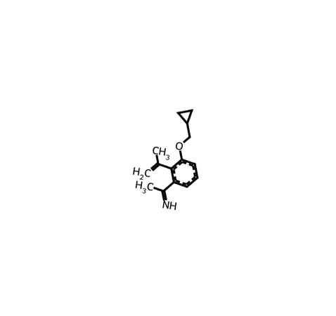 C=C(C)c1c(OCC2CC2)cccc1C(C)=N